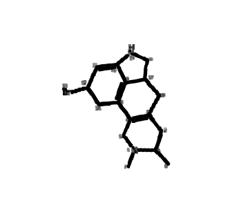 CC1CC2=C(CN1C)C1=C3C(=CC(Br)C1)NCC3C2